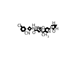 COc1cc(N2C[C@H]3C[C@H]3C2=O)ncc1[C@H](C)n1cc(C(=O)N[C@H]2C[C@@H](c3cc(Cl)ccc3C#N)C2)nn1